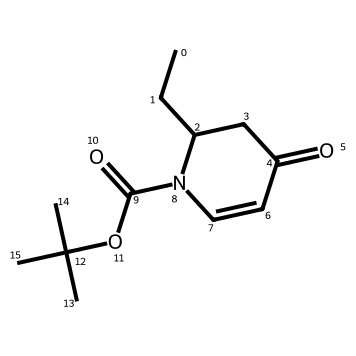 CCC1CC(=O)C=CN1C(=O)OC(C)(C)C